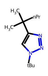 CCCC(C)(C)c1cn(C(C)(C)C)nn1